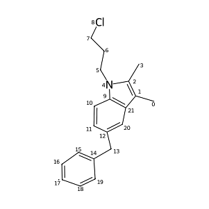 Cc1c(C)n(CCCCl)c2ccc(Cc3cc[c]cc3)cc12